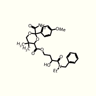 CCN(Cc1ccccc1)C(=O)C(O)CCOC(=O)C1OC(C(N)=O)(c2ccc(OC)cc2)OCC1(C)C